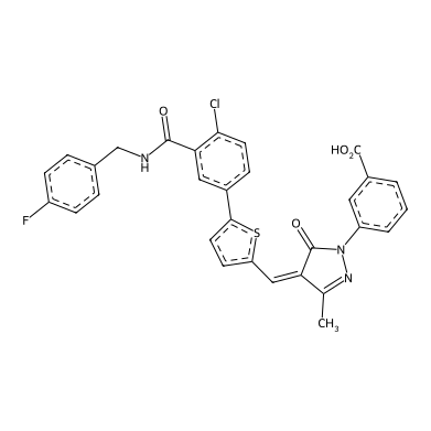 CC1=NN(c2cccc(C(=O)O)c2)C(=O)/C1=C\c1ccc(-c2ccc(Cl)c(C(=O)NCc3ccc(F)cc3)c2)s1